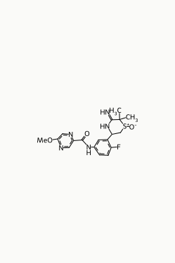 COc1cnc(C(=O)Nc2ccc(F)c(C3C[S+]([O-])C(C)(C)C(=N)N3)c2)cn1